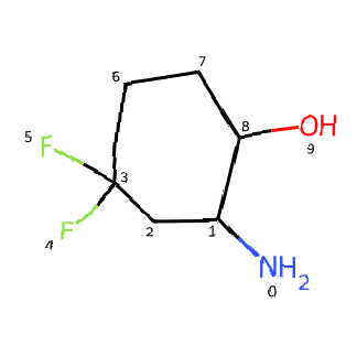 NC1CC(F)(F)CCC1O